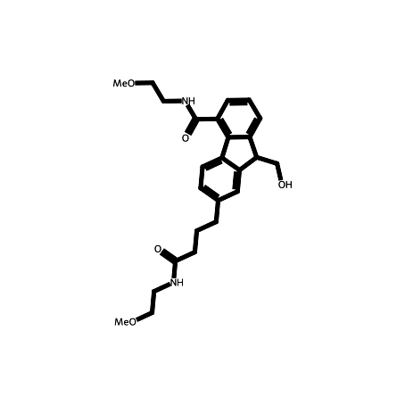 COCCNC(=O)CCCc1ccc2c(c1)C(CO)c1cccc(C(=O)NCCOC)c1-2